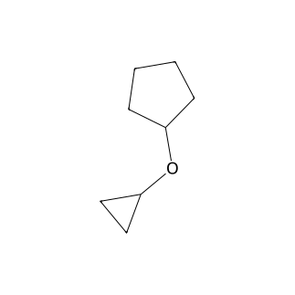 C1CCC(OC2CC2)C1